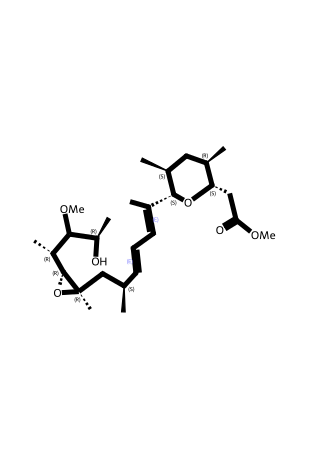 COC(=O)C[C@@H]1O[C@H](/C(C)=C/C=C/[C@@H](C)C[C@@]2(C)O[C@@H]2[C@H](C)C(OC)[C@@H](C)O)[C@@H](C)C[C@H]1C